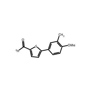 [2H]C(=O)c1ccc(-c2ccc(OC)c(C)c2)s1